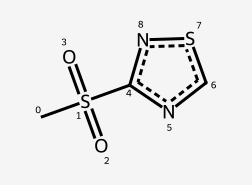 CS(=O)(=O)c1ncsn1